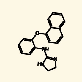 c1ccc(Oc2cccc3ccccc23)c(NC2=NCCN2)c1